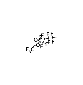 CC(F)(F)C(F)(F)C(F)C(F)(F)S(=O)(=O)OCC(F)(F)F